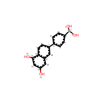 OB(O)c1ccc(-c2ccc3c(O)cc(O)cc3c2)cc1